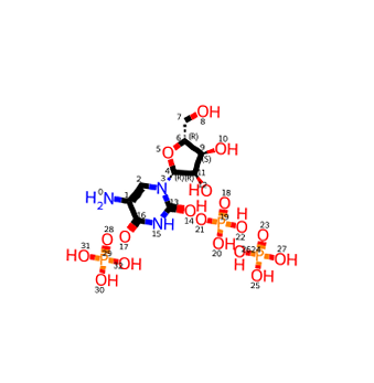 Nc1cn([C@@H]2O[C@H](CO)[C@@H](O)[C@H]2O)c(=O)[nH]c1=O.O=P(O)(O)O.O=P(O)(O)O.O=P(O)(O)O